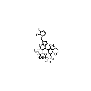 Cc1nc2c(ccn2Cc2cccc(F)c2F)c(-c2cc(Cl)c3c(c2C)CCCO3)c1[C@H](OC(C)(C)C)C(=O)O